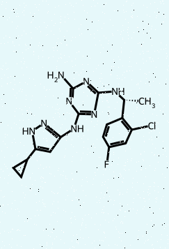 C[C@@H](Nc1nc(N)nc(Nc2cc(C3CC3)[nH]n2)n1)c1ccc(F)cc1Cl